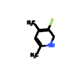 CC1=CC(C)=C(F)CN1